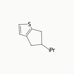 CC(C)C1Cc2ccsc2C1